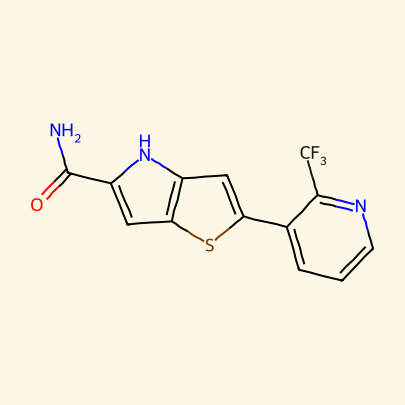 NC(=O)c1cc2sc(-c3cccnc3C(F)(F)F)cc2[nH]1